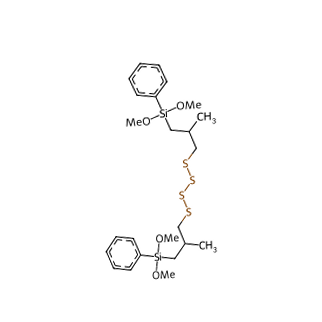 CO[Si](CC(C)CSSSSCC(C)C[Si](OC)(OC)c1ccccc1)(OC)c1ccccc1